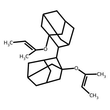 CC=C(C)OC12CC3CC(CC(C3)C1C1C3CC4CC(C3)CC1(OC(C)=CC)C4)C2